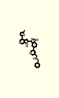 Cc1ccc(-c2cncc3[nH]c(-c4n[nH]c5ccc(-c6cncc(CNCc7ccccc7)c6)cc45)cc23)s1